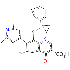 Cc1cc(-c2c(F)cc3c(=O)c(C(=O)O)cn(C4CC4)c3c2SCc2ccccc2)cc(C)n1